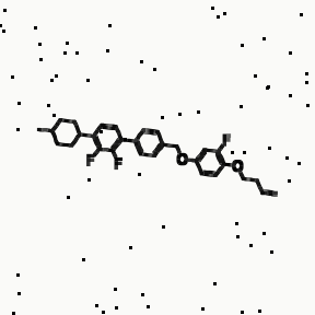 C=CCCOc1ccc(OCc2ccc(-c3ccc(C4CCC(C)CC4)c(F)c3F)cc2)cc1F